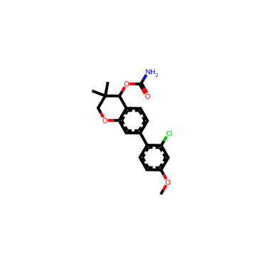 COc1ccc(-c2ccc3c(c2)OCC(C)(C)C3OC(N)=O)c(Cl)c1